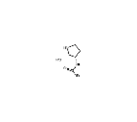 CC(C)C(=O)N[C@H]1CCNC1.Cl